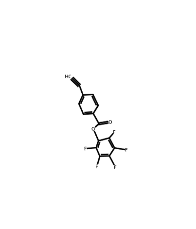 C#Cc1ccc(C(=O)Oc2c(F)c(F)c(F)c(F)c2F)cc1